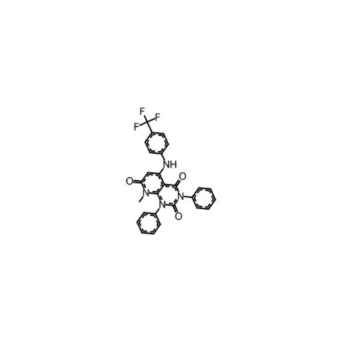 Cn1c(=O)cc(Nc2ccc(C(F)(F)F)cc2)c2c(=O)n(-c3ccccc3)c(=O)n(-c3ccccc3)c21